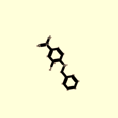 O=[N+]([O-])c1ccc(OCc2ccccc2)c(I)c1